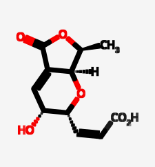 C[C@@H]1OC(=O)C2=C[C@@H](O)[C@@H](/C=C\C(=O)O)O[C@@H]21